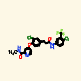 CNC(=O)c1cc(Oc2ccc(CCC(=O)Nc3ccc(Cl)c(C(F)(F)F)c3)cc2Cl)ccn1